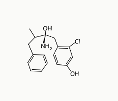 CC(Cc1ccccc1)[C@](N)(O)Cc1ccc(O)cc1Cl